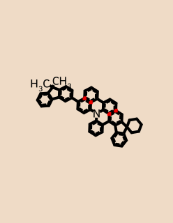 CC1(C)c2ccccc2-c2cc(-c3ccc(N(c4ccccc4-c4ccccc4)c4ccccc4-c4cccc5c4-c4ccccc4C54CCCCC4)cc3)ccc21